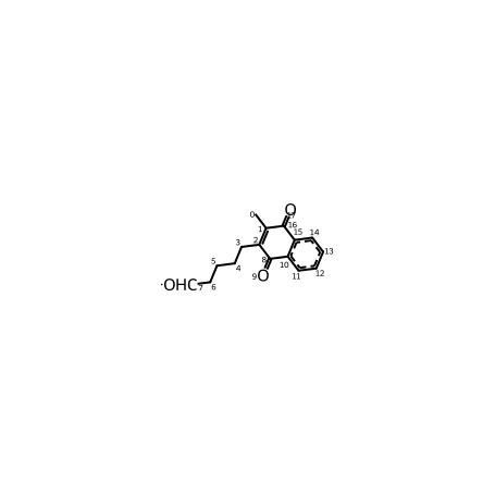 CC1=C(CCCC[C]=O)C(=O)c2ccccc2C1=O